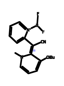 CC(C)COC1=CC=CN(C)/C1=C(/C#N)c1cccc[n+]1B(F)F